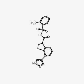 Cc1ccccc1S(=O)(=O)NC(=O)C1CCc2c(-c3cn[nH]c3)cccc21